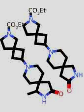 CCOC(=O)N1CCC2(CC(N3CCC4(CC3)CC(=O)NC4C)C2)C1.CCOC(=O)N1CCC2(CC(N3CCC4(CC3)CNC(=O)C4)C2)C1